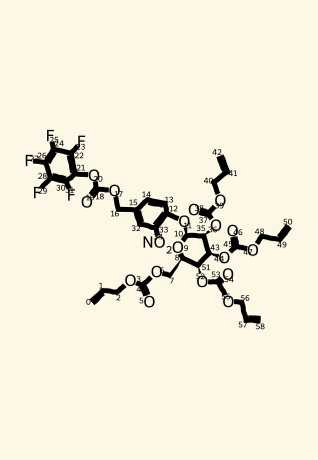 C=CCOC(=O)OC[C@H]1O[C@@H](Oc2ccc(COC(=O)Oc3c(F)c(F)c(F)c(F)c3F)cc2[N+](=O)[O-])[C@H](OC(=O)OCC=C)[C@@H](OC(=O)OCC=C)[C@@H]1OC(=O)OCC=C